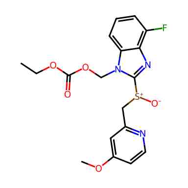 CCOC(=O)OCn1c([S+]([O-])Cc2cc(OC)ccn2)nc2c(F)cccc21